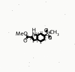 COC(=O)c1cc2ccc(S(C)(=O)=O)cc2[nH]1